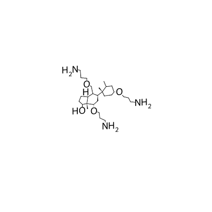 CC1C[C@H](OCCCN)CC[C@]1(C)[C@H]1C[C@H](OCCCN)[C@]2(C)[C@@H](O)CC[C@H]2C1COCCCN